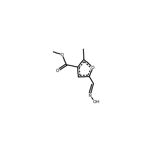 COC(=O)c1cc(C=NO)oc1C